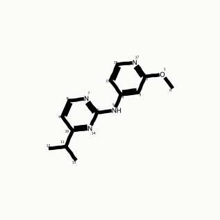 COc1cc(Nc2nccc(C(C)C)n2)ccn1